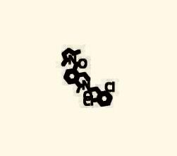 CC1CCC(C)N1C(=O)c1cccc2c1CCN(C(=O)Cc1c(Cl)cccc1Cl)[C@H]2C